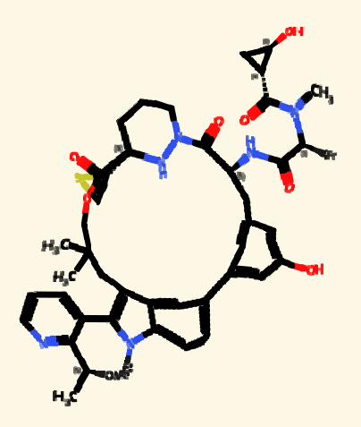 CCn1c(-c2cccnc2[C@H](C)OC)c2c3cc(ccc31)-c1cc(O)cc(c1)C[C@H](NC(=O)[C@H](C(C)C)N(C)C(=O)[C@@H]1C[C@H]1O)C(=O)N1CCC[C@@](C3=CS3)(N1)C(=O)OCC(C)(C)C2